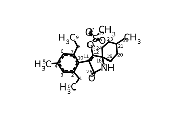 CCc1cc(C)cc(CC)c1C1=C(OS(C)(=O)=O)C2(CCC(C)CC2)NC1=O